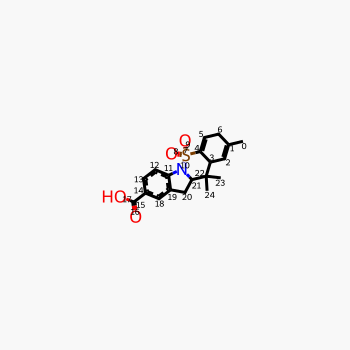 CC1=CC2C(=CC1)S(=O)(=O)N1c3ccc(C(=O)O)cc3CC1C2(C)C